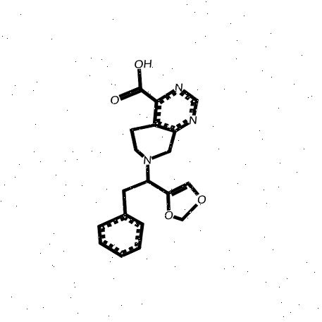 O=C(O)c1ncnc2c1CCN(C(Cc1ccccc1)C1=COCO1)C2